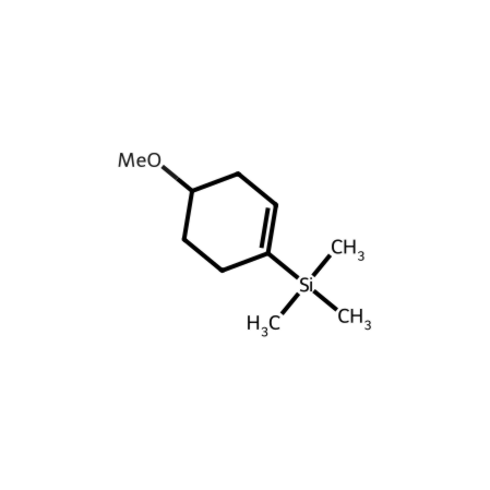 COC1CC=C([Si](C)(C)C)CC1